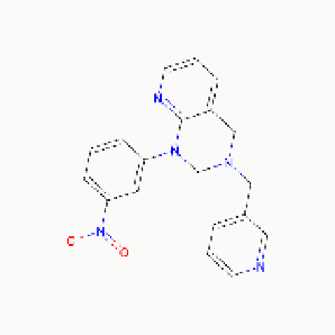 O=[N+]([O-])c1cccc(N2CN(Cc3cccnc3)Cc3cccnc32)c1